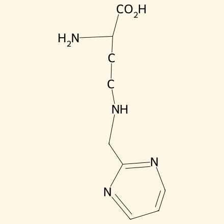 NC(CCNCc1ncccn1)C(=O)O